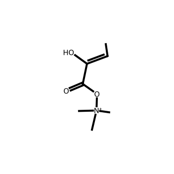 CC=C(O)C(=O)O[N+](C)(C)C